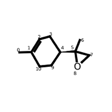 CC1=CC[C@@H](C2(C)CO2)CC1